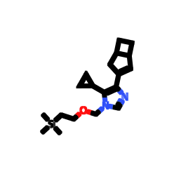 C[Si](C)(C)CCOCn1cnc(C2=CC3CCC3C2)c1C1CC1